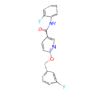 O=C(Nc1ccccc1F)c1ccc(OCc2cccc(F)c2)nc1